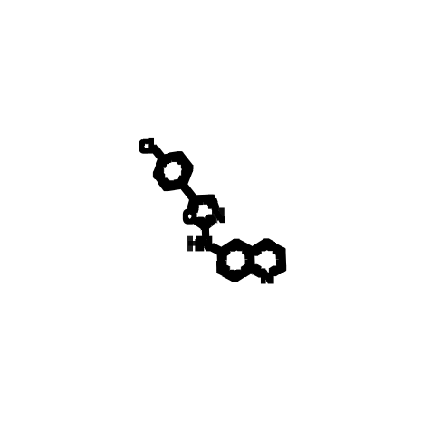 Clc1ccc(-c2cnc(Nc3ccc4ncccc4c3)o2)cc1